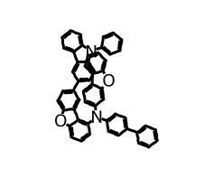 c1ccc(-c2ccc(N(c3ccc4c(c3)oc3ccccc34)c3cccc4oc5ccc(-c6ccc7c(c6)c6ccccc6n7-c6ccccc6)cc5c34)cc2)cc1